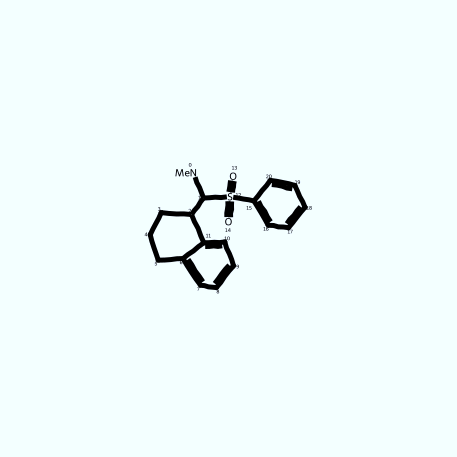 CNC(C1CCCc2ccccc21)S(=O)(=O)c1ccccc1